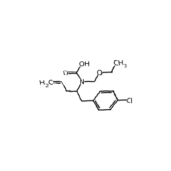 C=CCC(Cc1ccc(Cl)cc1)N(COCC)C(=O)O